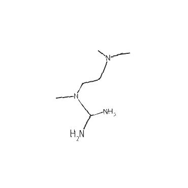 CN(C)CCN(C)C(N)N